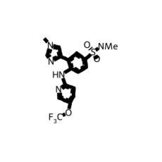 CNS(=O)(=O)c1ccc(Nc2ccc(OC(F)(F)F)cn2)c(-c2cn(C)cn2)c1